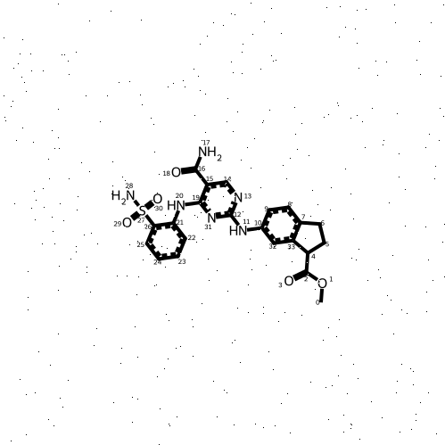 COC(=O)C1CCc2ccc(Nc3ncc(C(N)=O)c(Nc4ccccc4S(N)(=O)=O)n3)cc21